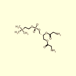 C[N+](C)(C)CCOP(=O)([O-])OC[C@@H](COC(=O)CN)OC(=O)CN